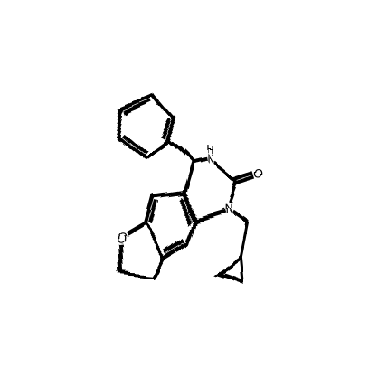 O=C1NC(c2ccccc2)c2cc3c(cc2N1CC1CC1)CCO3